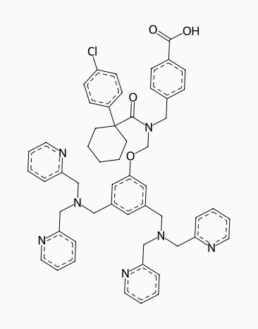 O=C(O)c1ccc(CN(COc2cc(CN(Cc3ccccn3)Cc3ccccn3)cc(CN(Cc3ccccn3)Cc3ccccn3)c2)C(=O)C2(c3ccc(Cl)cc3)CCCCC2)cc1